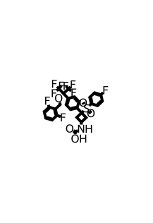 O=C(O)NC1CC(c2ccc(C(OCc3c(F)cccc3F)(C(F)(F)F)C(F)(F)F)cc2)(S(=O)(=O)c2ccc(F)cc2)C1